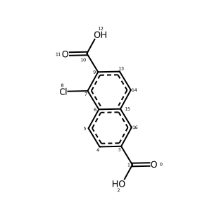 O=C(O)c1ccc2c(Cl)c(C(=O)O)ccc2c1